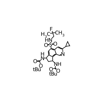 CC(C)(F)CNS(=O)(=O)c1cc2c(c3cnc(C4CC4)cc13)C(NC(=O)OC(C)(C)C)CC2NC(=O)OC(C)(C)C